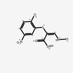 CCNC=C(Sc1cc([N+](=O)[O-])ccc1Cl)C(=O)OC